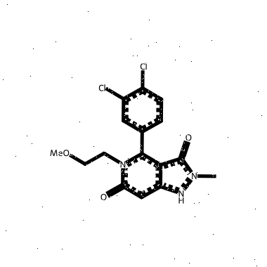 COCCn1c(-c2ccc(Cl)c(Cl)c2)c2c(=O)n(C)[nH]c2cc1=O